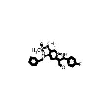 CN(C1=CN2NC(c3ccc(F)cc3)C(C=O)=C2C=C1OCc1ccccc1)S(C)(=O)=O